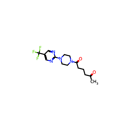 CC(=O)CCCC(=O)N1CCN(c2ncc(C(F)(F)F)cn2)CC1